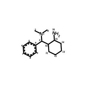 CN(C)C(c1ccccc1)C1CCCCC1N